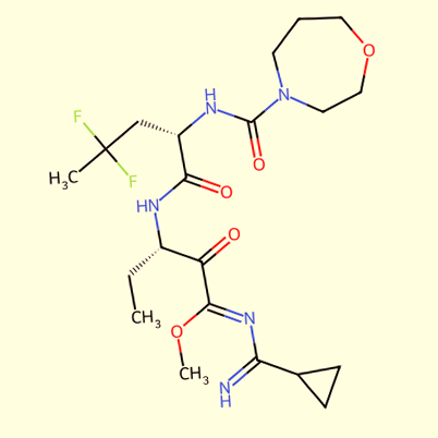 CC[C@H](NC(=O)[C@H](CC(C)(F)F)NC(=O)N1CCCOCC1)C(=O)/C(=N/C(=N)C1CC1)OC